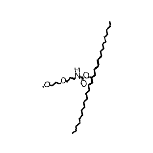 CCCCCCCCCCCCCCC(CCCCCCCCCCCCCC)OC(=O)NCCCOCCCOC